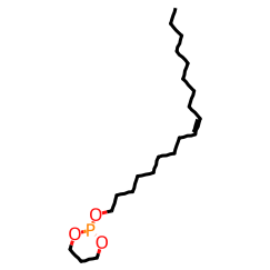 CCCCCCCC/C=C\CCCCCCCCOP1OCCCO1